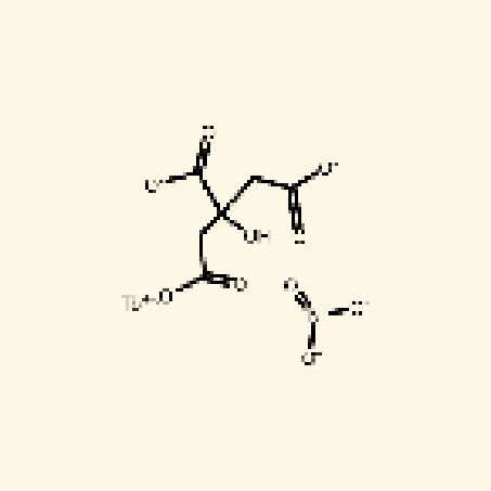 O=C([O-])CC(O)(CC(=O)[O-])C(=O)[O-].O=[N+]([O-])[O-].[Tb+4]